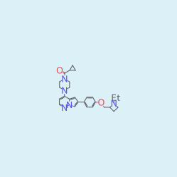 CCN1CCC1COc1ccc(-c2cc3c(N4CCN(C(=O)C5CC5)CC4)ccnn3c2)cc1